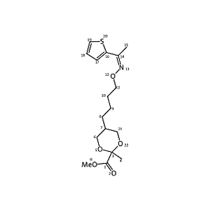 COC(=O)C1(C)OCC(CCCCON=C(C)c2cccs2)CO1